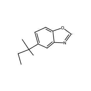 CCC(C)(C)c1ccc2o[c]nc2c1